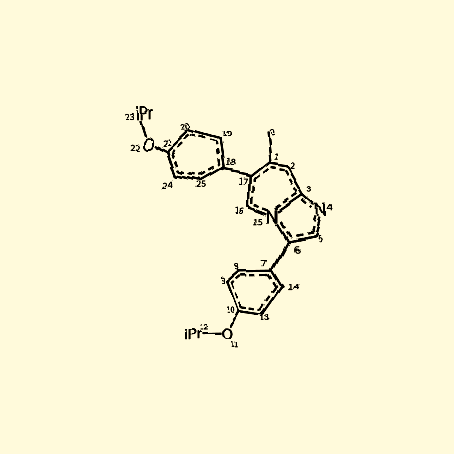 Cc1cc2ncc(-c3ccc(OC(C)C)cc3)n2cc1-c1ccc(OC(C)C)cc1